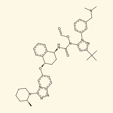 C[C@H]1CCCCN1c1nnc2ccc(O[C@@H]3CC[C@H](NC(=O)N(OC=O)c4cc(C(C)(C)C)nn4-c4cccc(CN(C)C)c4)c4ccccc43)cn12